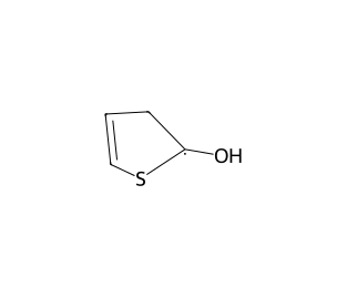 O[C]1CC=CS1